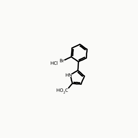 Cl.O=C(O)c1ccc(-c2ccccc2Br)[nH]1